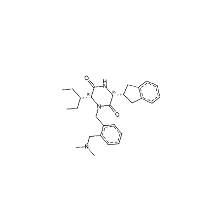 CCC(CC)[C@@H]1C(=O)N[C@H](C2Cc3ccccc3C2)C(=O)N1Cc1ccccc1CN(C)C